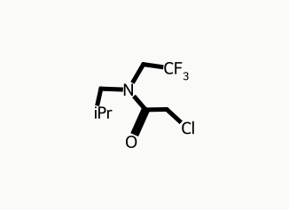 CC(C)CN(CC(F)(F)F)C(=O)CCl